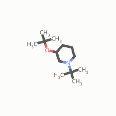 CC(C)(C)OC1CCCN(C(C)(C)C)C1